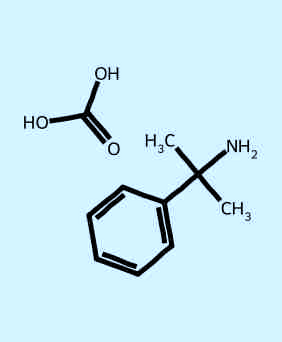 CC(C)(N)c1ccccc1.O=C(O)O